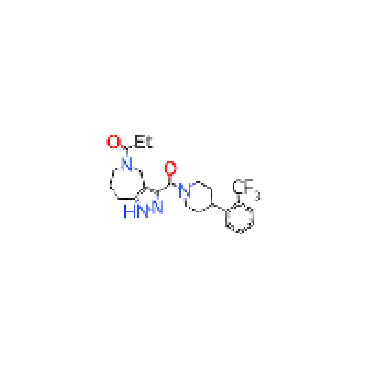 CCC(=O)N1CCCc2[nH]nc(C(=O)N3CCC(c4ccccc4C(F)(F)F)CC3)c2C1